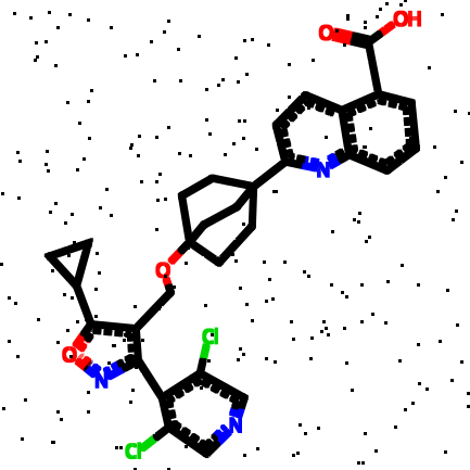 O=C(O)c1cccc2nc(C34CCC(OCc5c(-c6c(Cl)cncc6Cl)noc5C5CC5)(CC3)CC4)ccc12